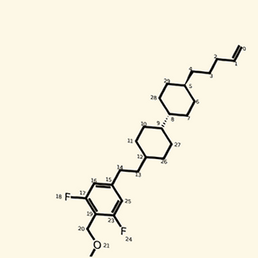 C=CCCC[C@H]1CC[C@H](C2CCC(CCc3cc(F)c(COC)c(F)c3)CC2)CC1